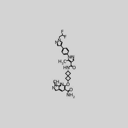 Cc1c(C(=O)N[C@H]2CC3(C2)C[C@H](Oc2nc4c(cnn4C)cc2C(N)=O)C3)cnn1-c1ccc(-c2cnn(CC(F)F)c2)cc1